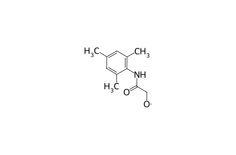 Cc1cc(C)c(NC(=O)C[O])c(C)c1